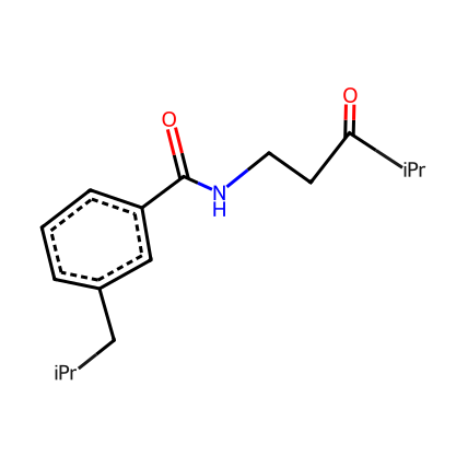 CC(C)Cc1cccc(C(=O)NCCC(=O)C(C)C)c1